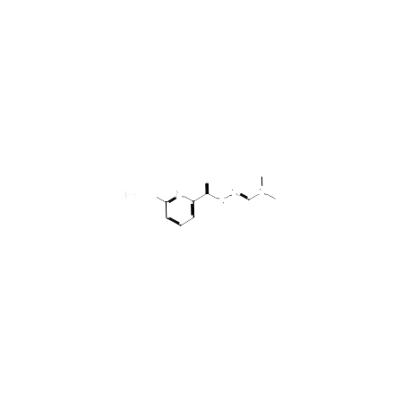 CN(C)C=NNC(=O)c1cccc(C(=O)O)n1